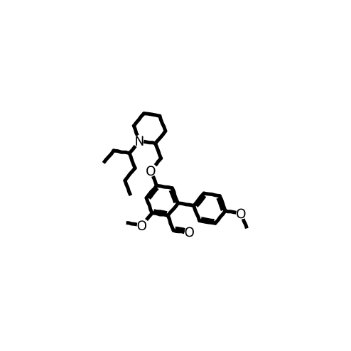 CCCC(CC)N1CCCCC1COc1cc(OC)c(C=O)c(-c2ccc(OC)cc2)c1